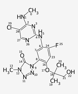 CNc1nc(Nc2cc(-n3nnn(C)c3=O)c(OC(C)(C)CO)cc2F)ncc1Cl